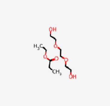 CCOC(=O)CC.OCCOCCOCCO